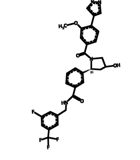 COc1cc(C(=O)N2CC(O)C[C@@H]2c2cccc(C(=O)NCc3cc(F)cc(C(F)(F)F)c3)c2)ccc1-c1cn[nH]c1